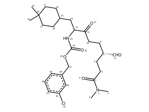 CN(C)C(=O)CC[C@@H](C=O)CCC(=O)C(CC1CCC(C)(C)CC1)NC(=O)OCc1cccc(Cl)c1